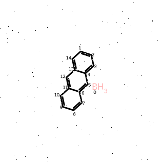 B.c1ccc2cc3ccccc3cc2c1